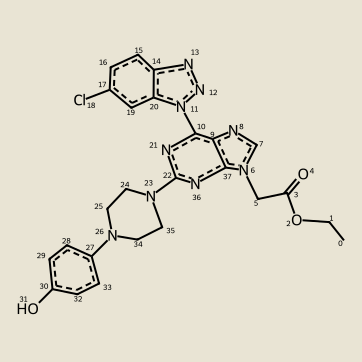 CCOC(=O)Cn1cnc2c(-n3nnc4ccc(Cl)cc43)nc(N3CCN(c4ccc(O)cc4)CC3)nc21